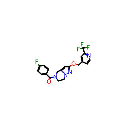 O=C(c1ccc(F)cc1)N1CCn2nc(OCc3ccnc(C(F)(F)F)c3)cc2C1